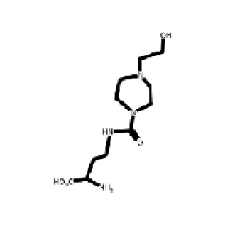 NC(CCNC(=O)N1CCN(CCO)CC1)C(=O)O